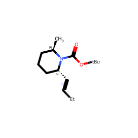 CC/C=C/[C@@H]1CCC[C@@H](C)N1C(=O)OC(C)(C)C